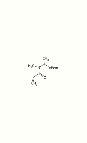 C=CC(=O)N(C)C(C)CCCCC